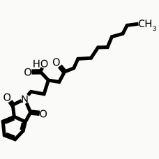 CCCCCCCCCC(=O)CC(CCN1C(=O)c2ccccc2C1=O)C(=O)O